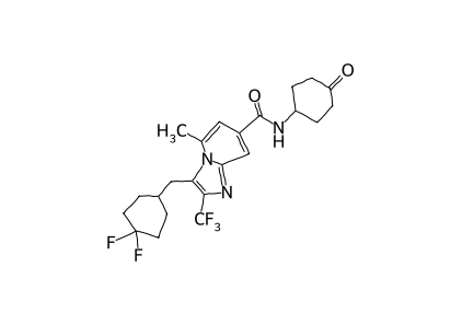 Cc1cc(C(=O)NC2CCC(=O)CC2)cc2nc(C(F)(F)F)c(CC3CCC(F)(F)CC3)n12